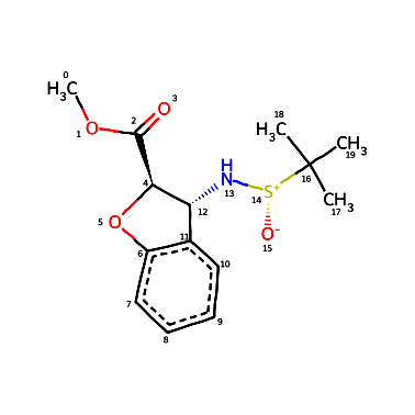 COC(=O)[C@@H]1Oc2ccccc2[C@H]1N[S@@+]([O-])C(C)(C)C